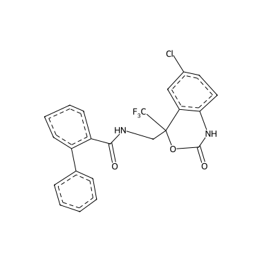 O=C1Nc2ccc(Cl)cc2C(CNC(=O)c2ccccc2-c2ccccc2)(C(F)(F)F)O1